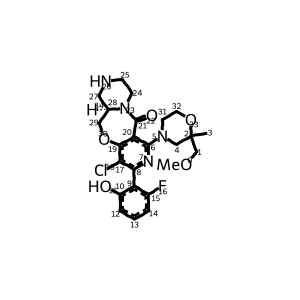 COCC1(C)CN(c2nc(-c3c(O)cccc3F)c(Cl)c3c2C(=O)N2CCNC[C@@H]2CO3)CCO1